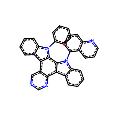 c1ccc(-n2c3ccccc3c3c4cncnc4c4c5ccccc5n(-c5cccc6ncccc56)c4c32)cc1